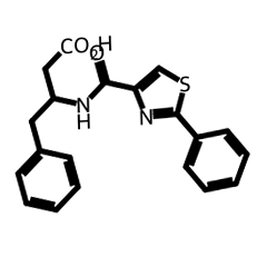 O=C(O)CC(Cc1ccccc1)NC(=O)c1csc(-c2ccccc2)n1